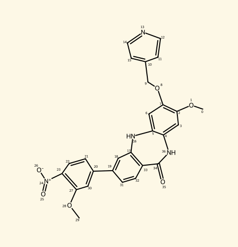 COc1cc2c(cc1OCc1ccncc1)Nc1cc(-c3ccc([N+](=O)[O-])c(OC)c3)ccc1C(=O)N2